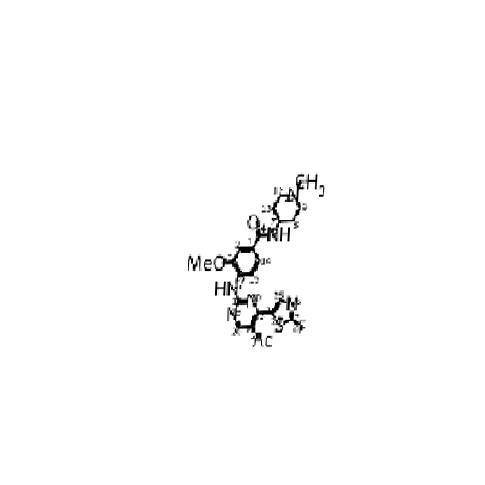 COc1cc(C(=O)NC2CCN(C)CC2)ccc1Nc1ncc(C(C)=O)c(-c2cnc(F)s2)n1